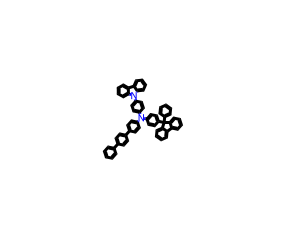 c1ccc(-c2ccc(-c3ccc(N(c4ccc(-n5c6ccccc6c6ccccc65)cc4)c4ccc(C5(c6ccccc6)c6ccccc6-c6ccccc65)cc4)cc3)cc2)cc1